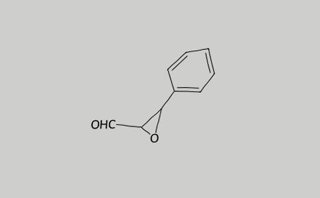 O=CC1OC1c1ccccc1